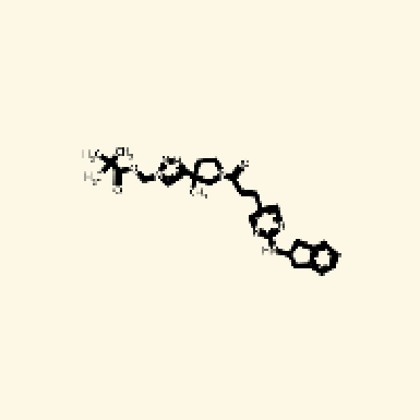 CC(C)(C)C(=O)OCn1cc(C2(C)CCN(C(=O)/C=C/c3cnc(NC4Cc5ccccc5C4)nc3)C2)nn1